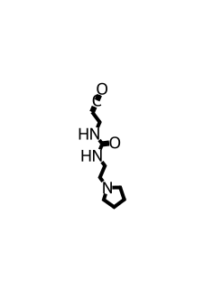 O=C=CCNC(=O)NCCN1CCCC1